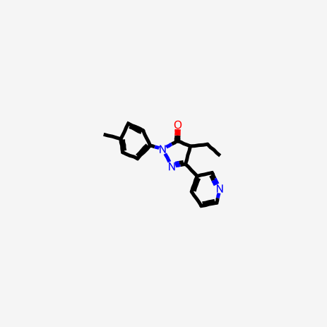 CCC1C(=O)N(c2ccc(C)cc2)N=C1c1cccnc1